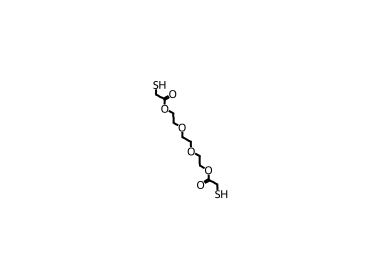 O=C(CS)OCCOCCOCCOC(=O)CS